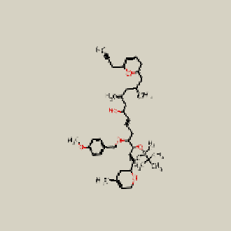 C#CCC1C=CCC(CC(C)CC(=C)CC(O)C=CCC(OCc2ccc(OC)cc2)C(C=CC2CC(C)=CCO2)O[Si](C)(C)C(C)(C)C)O1